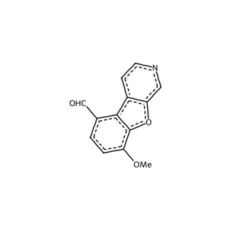 COc1ccc(C=O)c2c1oc1cnccc12